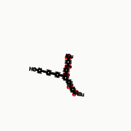 C#Cc1ccc(C#Cc2ccc(C#Cc3ccc(C#CC4(OC(=O)c5ccc(OC(=O)C6CCC(C(=O)OC(C)(C)C)CC6)cc5)CCC(c5ccc(OC(=O)C6CCC(C(=O)OC(C)(C)C)CC6)cc5)CC4)cc3)cc2)cc1